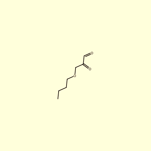 CCCCOCC(=O)C=O